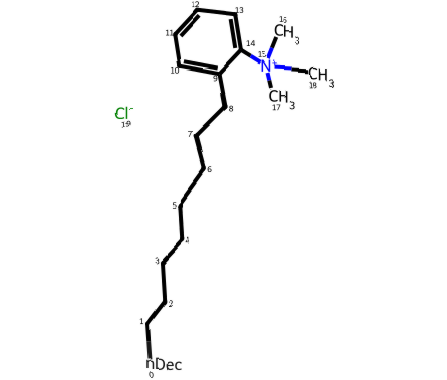 CCCCCCCCCCCCCCCCCCc1ccccc1[N+](C)(C)C.[Cl-]